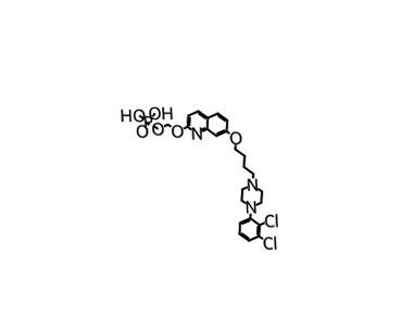 O=P(O)(O)OCOc1ccc2ccc(OCCCCN3CCN(c4cccc(Cl)c4Cl)CC3)cc2n1